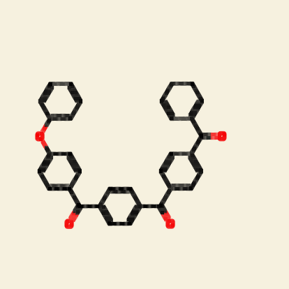 O=C(C1=CCCC=C1)c1ccc(C(=O)c2ccc(C(=O)c3ccc(Oc4ccccc4)cc3)cc2)cc1